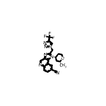 C[C@@H]1C[C@H](n2c(Cn3cc(C(F)(F)F)nn3)nc3cnc4ccc(C#N)cc4c32)CCO1